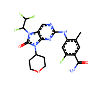 Cc1cc(C(N)=O)c(F)cc1Nc1ncc2c(n1)n(C1CCOCC1)c(=O)n2C(F)C(F)F